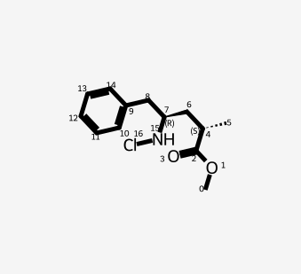 COC(=O)[C@@H](C)C[C@H](Cc1ccccc1)NCl